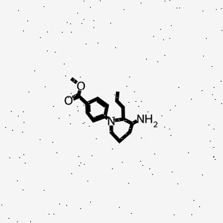 CCCC1C(N)CCCN1c1ccc(C(=O)OC)cc1